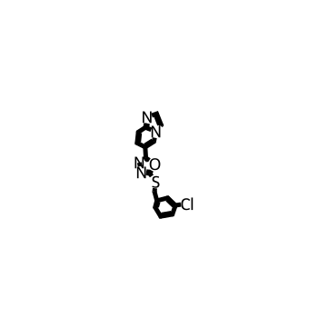 Clc1cccc(CSc2nnc(-c3ccc4nccn4c3)o2)c1